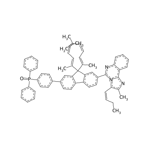 C=C(C)/C=C\C=C(/C)C1(/C(C)=C/C=C\C)c2cc(-c3ccc(P(=O)(c4ccccc4)c4ccccc4)cc3)ccc2-c2ccc(-c3nc4ccccc4c4nc(C)c(/C=C\CC)n34)cc21